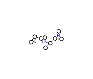 c1ccc(-c2ccc(-c3ccc4c(c3)c3ccccc3n4-c3ccccc3)cc2Nc2cccc3cc(-c4cccc5c4sc4ccccc45)ccc23)cc1